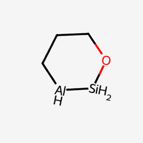 C1CO[SiH2][AlH][CH2]1